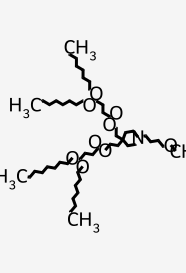 CCCCCCCCOC(CCC(=O)OCCC1(CCOC(=O)CCC(OCCCCCCCC)OCCCCCCCC)CCN(CCCCOC)CC1)OCCCCCCCC